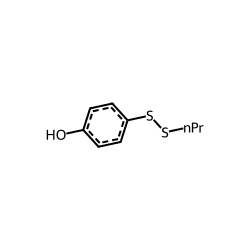 CCCSSc1ccc(O)cc1